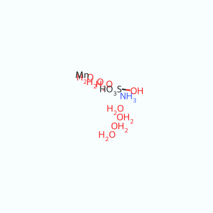 N.O.O.O.O.O.O.O.O=S(=O)(O)O.[Mn]